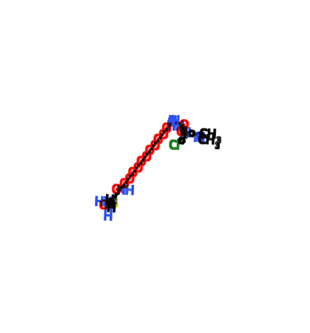 Cc1cc(C2CCC(N3C[C@H](C(=O)NCc4cn(CCOCCOCCOCCOCCOCCOCCOCCOCCOCCOCCOCCNC(=O)CCCC[C@@H]5SC[C@@H]6NC(=O)N[C@@H]65)nn4)OC[C@@H]3Cc3ccc(Cl)cc3)CC2)nn1C